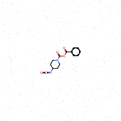 O=C=NC1CCN(C(=O)OC(=O)c2ccccc2)CC1